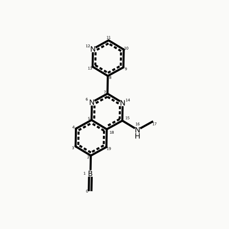 C=Bc1ccc2nc(-c3cccnc3)nc(NC)c2c1